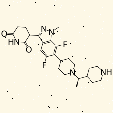 C[C@H](C1CCNCC1)N1CCC(c2c(F)cc3c(C4CCC(=O)NC4=O)nn(C)c3c2F)CC1